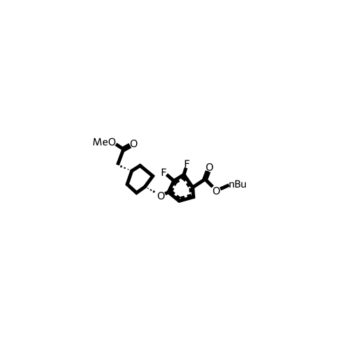 CCCCOC(=O)c1ccc(O[C@H]2CC[C@@H](CC(=O)OC)CC2)c(F)c1F